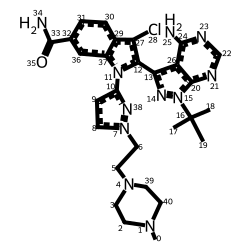 CN1CCN(CCn2ccc(-n3c(-c4nn(C(C)(C)C)c5ncnc(N)c45)c(Cl)c4ccc(C(N)=O)cc43)n2)CC1